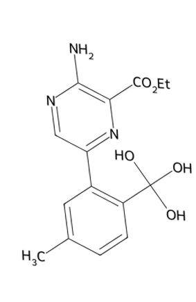 CCOC(=O)c1nc(-c2cc(C)ccc2C(O)(O)O)cnc1N